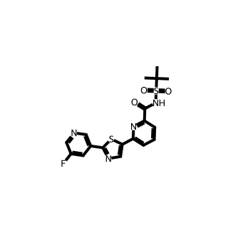 CC(C)(C)S(=O)(=O)NC(=O)c1cccc(-c2cnc(-c3cncc(F)c3)s2)n1